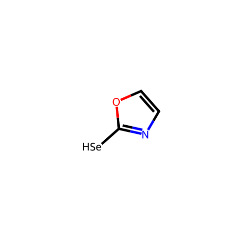 [SeH]c1ncco1